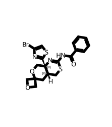 O=C(NC1=N[C@@]2(c3nc(Br)cs3)COC3(COC3)C[C@H]2CS1)c1ccccc1